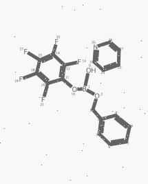 OB(OCc1ccccc1)Oc1c(F)c(F)c(F)c(F)c1F.c1ccncc1